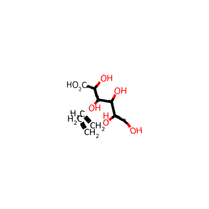 C=C.C=C.O=C(O)C(O)C(O)C(O)C(O)CO